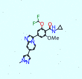 COc1cc(-c2cnc3cc(-c4cnn(C)c4)ccn23)cc(OC(F)F)c1C(=O)NC1CC1